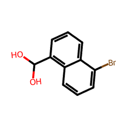 OC(O)c1cccc2c(Br)cccc12